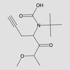 C#CCC(C(=O)C(C)OC)N(C(=O)O)C(C)(C)C